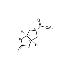 COC(=O)[C@H]1C[C@@H]2NC(=O)O[C@@H]2C1